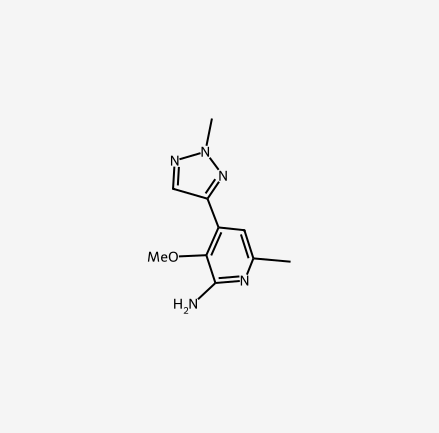 COc1c(-c2cnn(C)n2)cc(C)nc1N